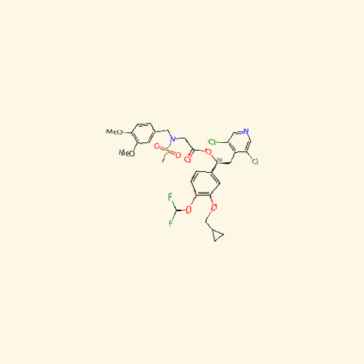 COc1ccc(CN(CC(=O)O[C@@H](Cc2c(Cl)cncc2Cl)c2ccc(OC(F)F)c(OCC3CC3)c2)S(C)(=O)=O)cc1OC